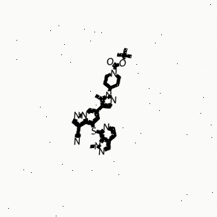 Cc1c(-c2cc(Sc3nccc4cnn(C)c34)c3c(C#N)cnn3c2)cnn1C1CCN(C(=O)OC(C)(C)C)CC1